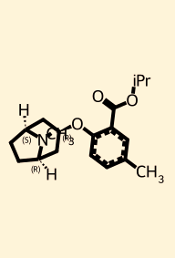 Cc1ccc(O[C@H]2C[C@H]3CC[C@@H](C2)N3C)c(C(=O)OC(C)C)c1